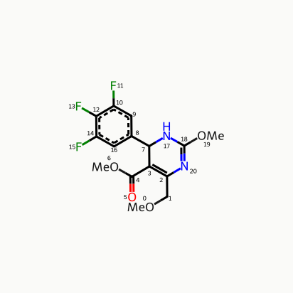 COCC1=C(C(=O)OC)C(c2cc(F)c(F)c(F)c2)NC(OC)=N1